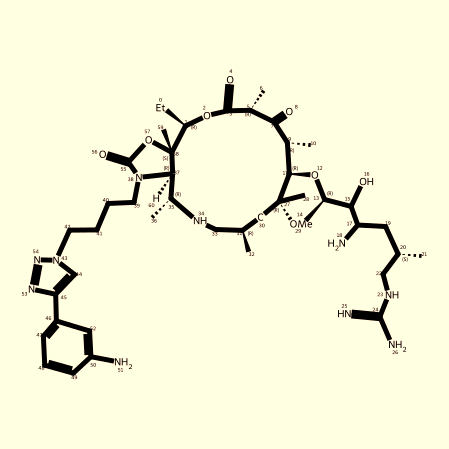 CC[C@H]1OC(=O)[C@H](C)C(=O)[C@H](C)[C@@H](O[C@H](C)C(O)C(N)C[C@H](C)CNC(=N)N)[C@](C)(OC)C[C@@H](C)CN[C@H](C)[C@H]2N(CCCCn3cc(-c4cccc(N)c4)nn3)C(=O)O[C@]12C